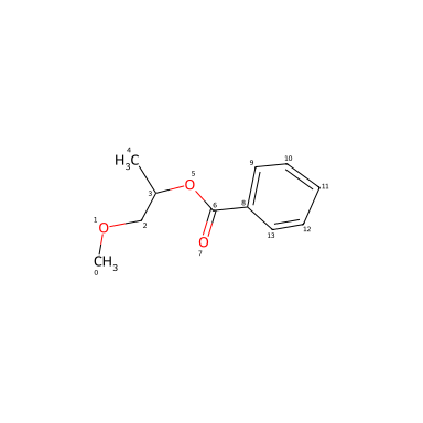 COCC(C)OC(=O)c1ccccc1